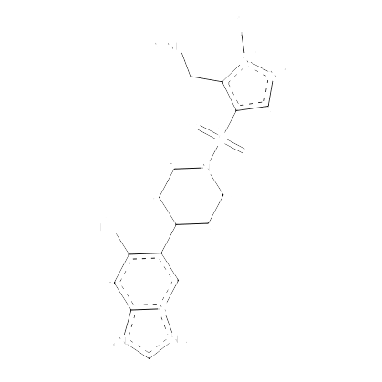 CC(=O)NCc1c(S(=O)(=O)N2CCC(c3cn4ncnc4cc3C)CC2)cnn1C